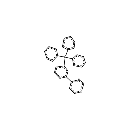 c1ccc([Si](c2ccccc2)(c2ccccc2)c2cccc(-c3ccncn3)c2)cc1